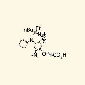 CCCC[C@@]1(CC)CN(c2ccccc2)c2cc(N(C)C)c(O/C=C/C(=O)O)cc2S(=O)(=O)N1